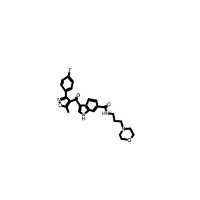 Cc1onc(-c2ccc(F)cc2)c1C(=O)c1c[nH]c2cc(C(=O)NCCCN3CCOCC3)ccc12